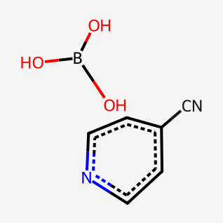 N#Cc1ccncc1.OB(O)O